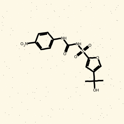 CC(C)(O)c1coc(S(=O)(=O)NC(=O)Nc2ccc([N+](=O)[O-])cc2)c1